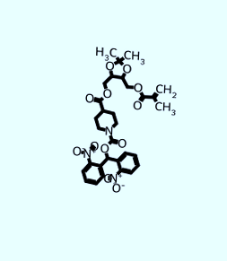 C=C(C)C(=O)OCC1OC(C)(C)OC1COC(=O)C1CCN(C(=O)OC(c2ccccc2[N+](=O)[O-])c2ccccc2[N+](=O)[O-])CC1